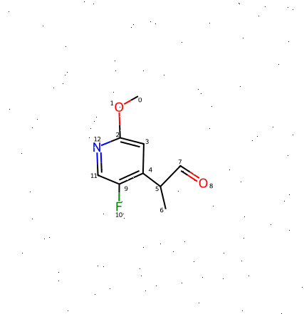 COc1cc(C(C)C=O)c(F)cn1